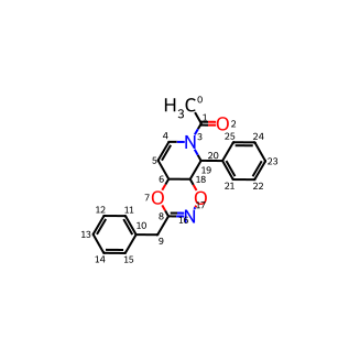 CC(=O)N1C=CC2OC(Cc3ccccc3)=NOC2C1c1ccccc1